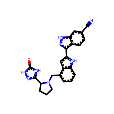 N#Cc1ccc2c(-c3cc4c(CN5CCCC5c5n[nH]c(=O)[nH]5)cccc4[nH]3)n[nH]c2c1